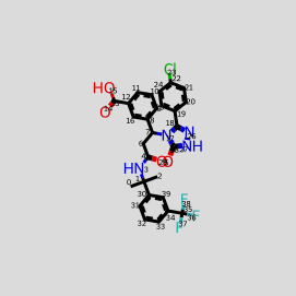 CC(C)(NC(=O)CC(c1cccc(C(=O)O)c1)n1c(-c2ccc(Cl)cc2)n[nH]c1=O)c1cccc(C(F)(F)F)c1